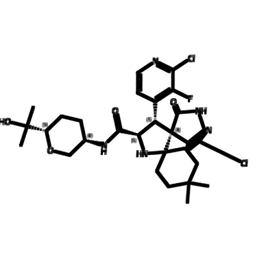 CC1(C)CCC2(CC1)N[C@@H](C(=O)N[C@@H]1CC[C@@H](C(C)(C)O)OC1)[C@H](c1ccnc(Cl)c1F)[C@]21C(=O)Nc2nc(Cl)ccc21